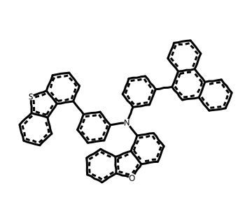 c1cc(-c2cc3ccccc3c3ccccc23)cc(N(c2cccc(-c3cccc4sc5ccccc5c34)c2)c2cccc3oc4ccccc4c23)c1